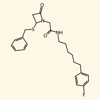 O=C(CN1C(=O)CC1SCc1ccccc1)NCCCCCCc1ccc(F)cc1